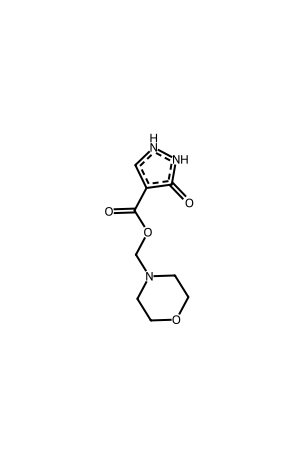 O=C(OCN1CCOCC1)c1c[nH][nH]c1=O